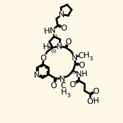 CN1C[C@H](NC(=O)CCC(=O)O)C(=O)N(C)CC(=O)N2C[C@@H](NC(=O)CN3CCCC3)C[C@H]2COc2cncc(c2)C1=O